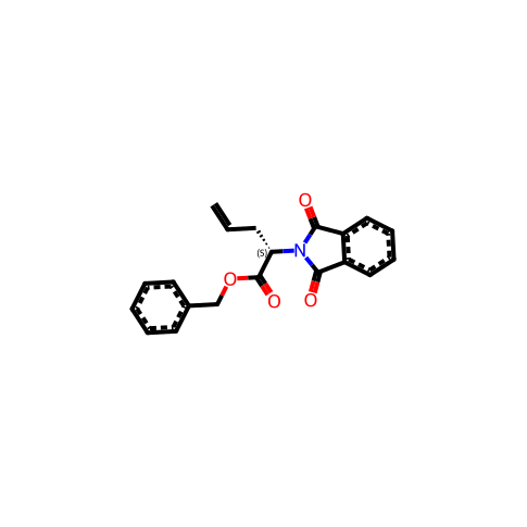 C=CC[C@@H](C(=O)OCc1ccccc1)N1C(=O)c2ccccc2C1=O